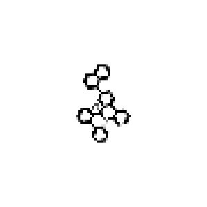 O=P12c3ccccc3-c3ccccc3N1c1ccccc1-c1ccc(-c3cccc4ccccc34)cc12